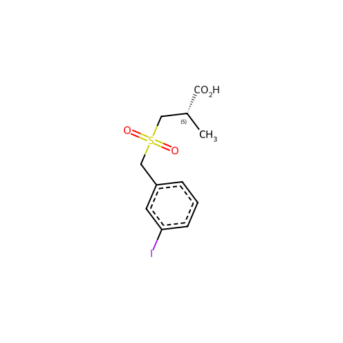 C[C@H](CS(=O)(=O)Cc1cccc(I)c1)C(=O)O